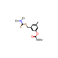 CCN(CC)C(=S)SCc1cc(C)cc(OC(=O)NC)c1